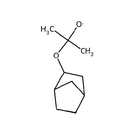 CC(C)([O])OC1CC2CCC1C2